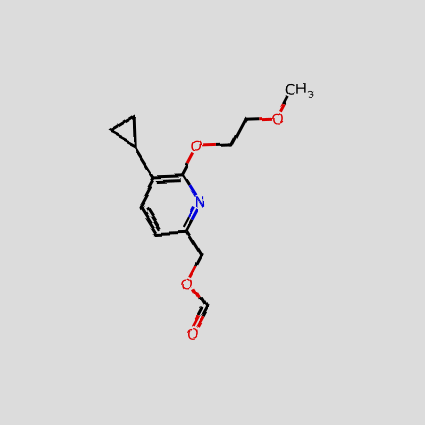 COCCOc1nc(COC=O)ccc1C1CC1